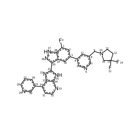 Fc1cc(-c2cncc(CN3CCC(F)(F)C3)c2)cc2c(-c3nc4c(-c5cccnc5)ccnc4[nH]3)n[nH]c12